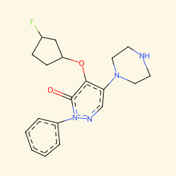 O=c1c(OC2CCC(F)C2)c(N2CCNCC2)cnn1-c1ccccc1